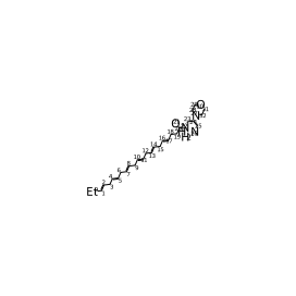 CCC=CCC=CCC=CCC=CCC=CCC=CCCC(=O)NCC(CN)N1CCOCC1